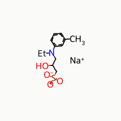 CCN(CC(O)CS(=O)(=O)[O-])c1cccc(C)c1.[Na+]